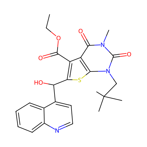 CCOC(=O)c1c(C(O)c2ccnc3ccccc23)sc2c1c(=O)n(C)c(=O)n2CC(C)(C)C